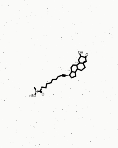 CCCCN(C)C(=O)CCCCCCCC#C[C@@H]1CCC2C3CCC4=CC(=O)C(O)C[C@]4(C)C3CC[C@@]21C